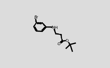 CC(C)(C)OC(=O)CCNc1cccc(Br)c1